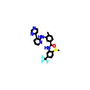 CSc1ccc(C(F)(F)F)cc1NC(=O)c1ccc(C)c(Nc2ncccc2-c2ccncn2)c1